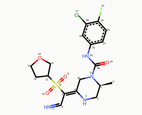 C[C@H]1CN/C(=C(\C=N)S(=O)(=O)C2CCOC2)CN1C(=O)Nc1ccc(F)c(Cl)c1